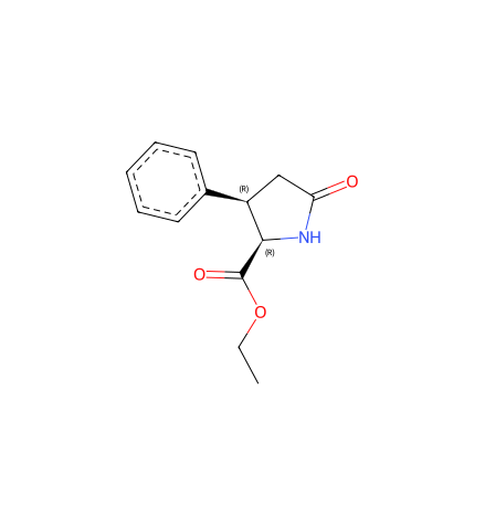 CCOC(=O)[C@@H]1NC(=O)C[C@@H]1c1ccccc1